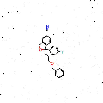 N#Cc1ccc2c(c1)COC2(CCCOCc1ccccc1)c1ccc(F)cc1